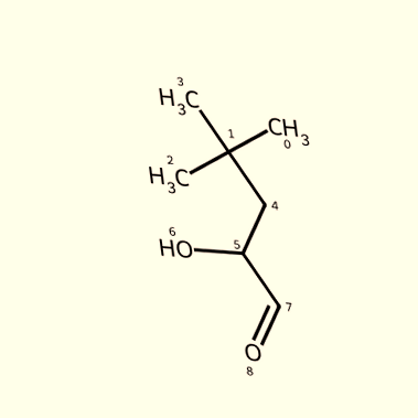 CC(C)(C)CC(O)C=O